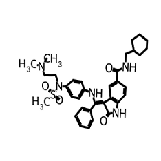 CN(C)CCN(c1ccc(NC(=C2C(=O)Nc3ccc(C(=O)NCC4CCCCC4)cc32)c2ccccc2)cc1)S(C)(=O)=O